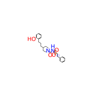 O=C(NS(=O)(=O)/C=C/c1ccccc1)N1CCC(CCCc2ccccc2O)CC1